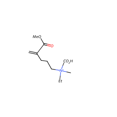 C=C(CCC[N+](C)(CC)C(=O)O)C(=O)OC